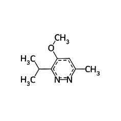 COc1cc(C)nnc1C(C)C